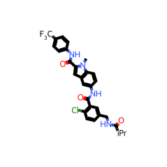 CC(C)C(=O)NCc1ccc(Cl)c(C(=O)Nc2ccc3c(c2)cc(C(=O)Nc2ccc(C(F)(F)F)cc2)n3C)c1